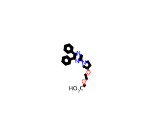 O=C(O)COCCOC1CCN(c2cnc(-c3ccccc3)c(-c3ccccc3)n2)C1